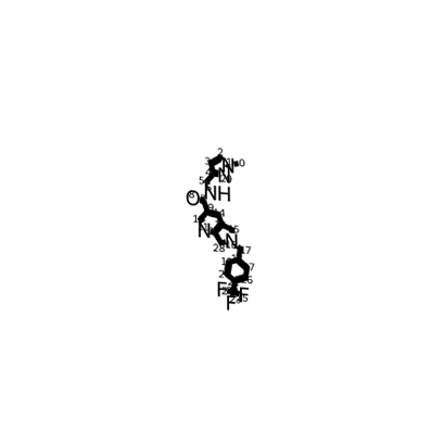 Cn1ccc(CNC(=O)c2cnc3c(c2)CN(Cc2ccc(C(F)(F)F)cc2)C3)n1